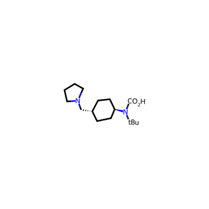 CC(C)(C)N(C(=O)O)[C@H]1CC[C@H](CN2CCCC2)CC1